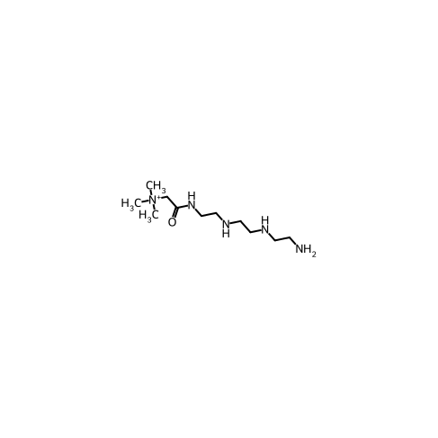 C[N+](C)(C)CC(=O)NCCNCCNCCN